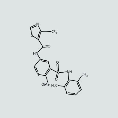 COc1ncc(NC(=O)c2scnc2C(F)(F)F)cc1S(=O)(=O)Nc1c(C)cccc1C